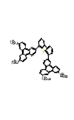 CC(C)(C)c1ccc2c3ccc(-c4cccc5c4sc4c(-c6ccc7c8ccc(C(C)(C)C)cc8c8cc(C(C)(C)C)ccc8c7c6)cccc45)cc3c3ccc(C(C)(C)C)cc3c2c1